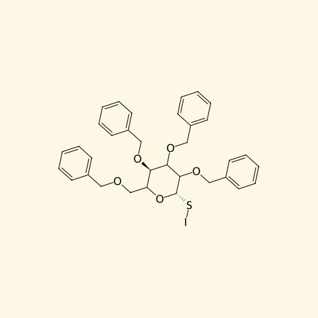 IS[C@@H]1OC(COCc2ccccc2)[C@@H](OCc2ccccc2)C(OCc2ccccc2)C1OCc1ccccc1